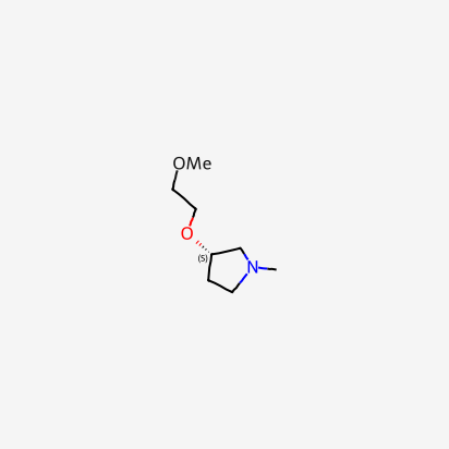 COCCO[C@H]1CCN(C)C1